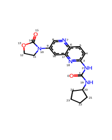 O=C(Nc1ccc2ncc(N3CCOC3=O)cc2n1)NC1CCCC1